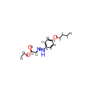 CCCCOc1ccc(NN=CC(=O)OCC)cc1